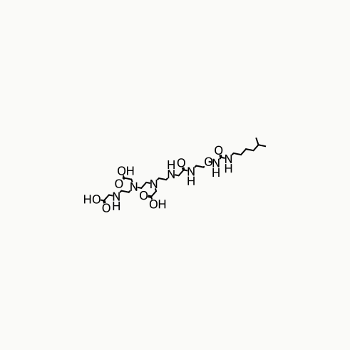 CC(C)CCCCNC(=O)NOCCNC(=O)CNCCN(CCN(CCNCC(=O)O)CC(=O)O)CC(=O)O